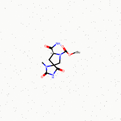 CN1C(=O)NC(=O)C12C[C@@H](C(N)=O)N(C(=O)OC(C)(C)C)C2